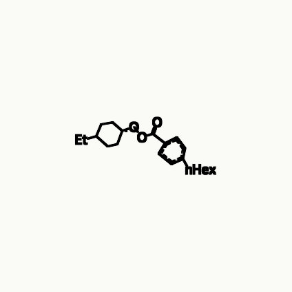 CCCCCCc1ccc(C(=O)OO[C]2CCC(CC)CC2)cc1